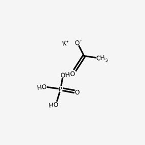 CC(=O)[O-].O=P(O)(O)O.[K+]